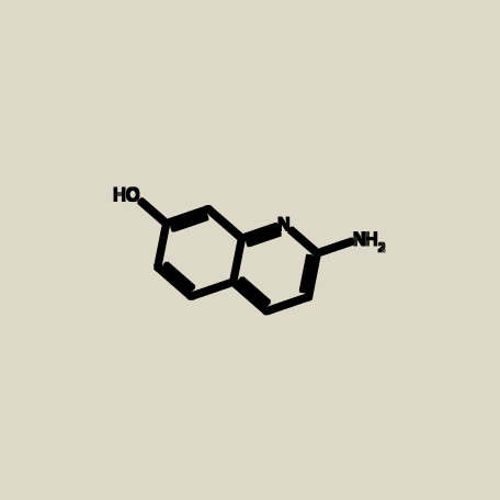 Nc1ccc2ccc(O)cc2n1